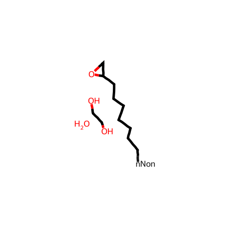 CCCCCCCCCCCCCCCCC1CO1.O.OCCO